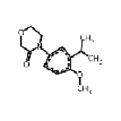 COc1ccc(N2CCOCC2=O)cc1C(C)C